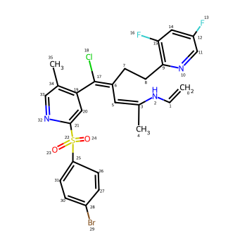 C=CN/C(C)=C\C(CCc1ncc(F)cc1F)=C(\Cl)c1cc(S(=O)(=O)c2ccc(Br)cc2)ncc1C